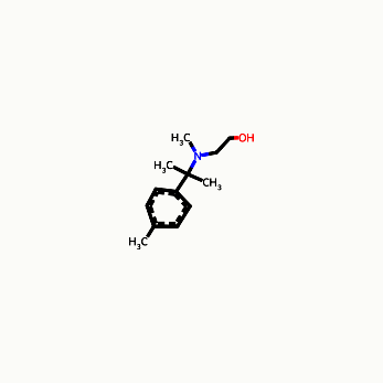 Cc1ccc(C(C)(C)N(C)CCO)cc1